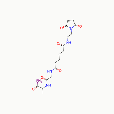 CC(NC(=O)CNC(=O)CCCCC(=O)NCCN1C(=O)C=CC1=O)C(=O)P